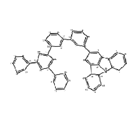 C1=CCC2C(=C1)c1cc(-c3cccc(-c4cccc(-c5cc(-c6ccccc6)cc(-c6ccccc6)c5)c4)c3)cc3c1N2C1C=CC=CC31